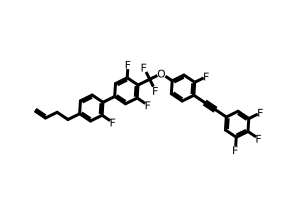 C=CCCc1ccc(-c2cc(F)c(C(F)(F)Oc3ccc(C#Cc4cc(F)c(F)c(F)c4)c(F)c3)c(F)c2)c(F)c1